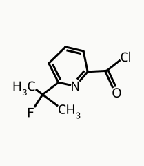 CC(C)(F)c1cccc(C(=O)Cl)n1